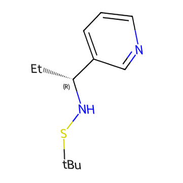 CC[C@@H](NSC(C)(C)C)c1cccnc1